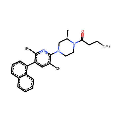 COCCC(=O)N1CCN(c2nc(C(C)C)c(-c3cccc4ccccc34)cc2C#N)C[C@H]1C